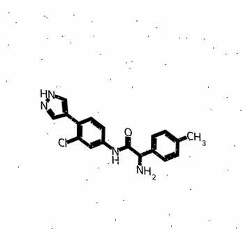 Cc1ccc(C(N)C(=O)Nc2ccc(-c3cn[nH]c3)c(Cl)c2)cc1